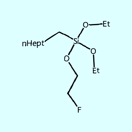 CCCCCCCC[Si](OCC)(OCC)OCCF